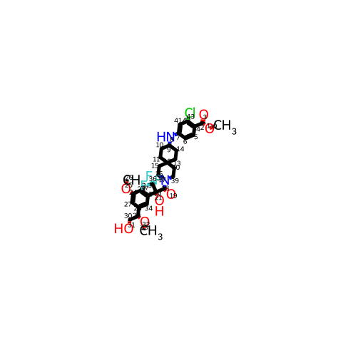 COC(=O)c1ccc(NC2CCC3(CC2)CCN(C(=O)C(O)(c2cc(OC)cc(C(CO)OC)c2)C(F)(F)F)CC3)cc1Cl